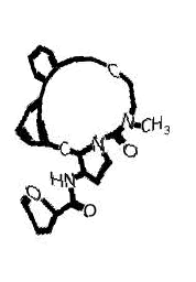 CN1CCCCCc2ccccc2-c2cccc(c2)CC2C(NC(=O)C3CCCO3)CCN2C1=O